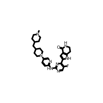 CN1CCC(CC2CCN(c3ccc(Nc4ncc(F)c(-c5cc6c([nH]5)CCNC6=O)n4)nc3)CC2)CC1